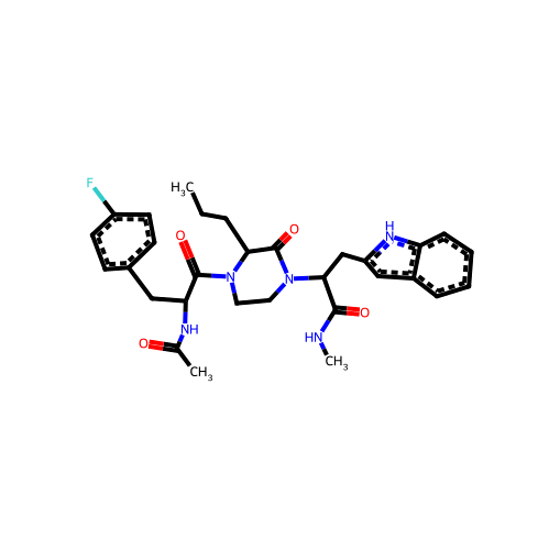 CCCC1C(=O)N(C(Cc2cc3ccccc3[nH]2)C(=O)NC)CCN1C(=O)C(Cc1ccc(F)cc1)NC(C)=O